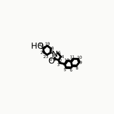 O=C1C(Cc2ccc3ccccc3c2)CCN1[C@H]1CC[C@@H](O)CC1